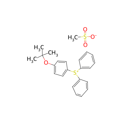 CC(C)(C)Oc1ccc([S+](c2ccccc2)c2ccccc2)cc1.CS(=O)(=O)[O-]